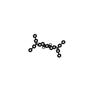 c1ccc(-c2ccc(N(c3ccc(-c4ccccc4)cc3)c3ccc4c(ccc5c6cc7oc8c9ccc(N(c%10ccc(-c%11ccccc%11)cc%10)c%10ccc(-c%11ccccc%11)cc%10)cc9ccc8c7cc6oc45)c3)cc2)cc1